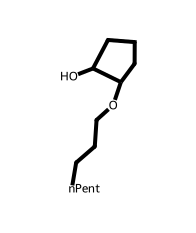 CCCCCCCCOC1CCCC1O